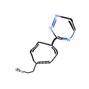 CC(C)(C)Cc1ccc(-c2nccnn2)cc1